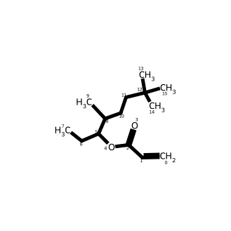 C=CC(=O)OC(CC)C(C)CCC(C)(C)C